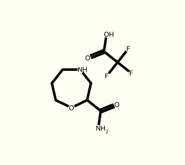 NC(=O)C1CNCCCO1.O=C(O)C(F)(F)F